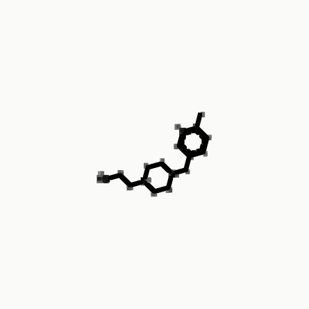 Cc1ccc(CN2CCN(CCO)CC2)cn1